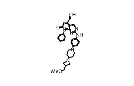 C#Cc1cc(=O)n(-c2ccccc2)c2nc(Nc3ccc(N4CCC(N5CC(COC)C5)CC4)cc3)ncc12